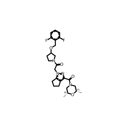 C[C@@H]1CN(C(=O)c2nn(CC(=O)N3CCC(OCc4c(F)cccc4F)C3)c3c2CCC3)C[C@H](C)O1